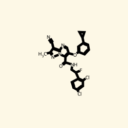 Cc1nn2c(C(=O)NCC(F)c3ccc(Cl)cc3Cl)c(Oc3cccc(C4CC4)c3)cnc2c1C#N